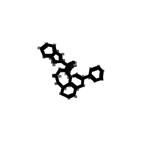 O=C(N[N+]12C=C(c3ccccc3)CC3=C1C(CC=C3)CNCC2=O)c1cc2ccccc2[nH]1